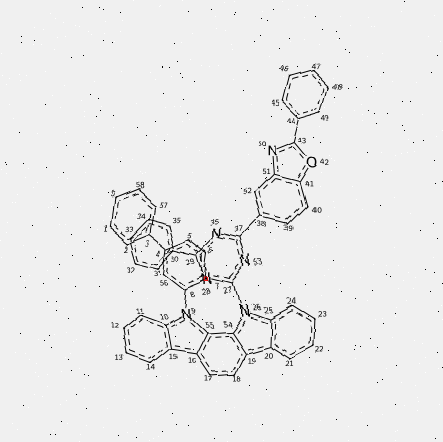 c1ccc(-c2cccc(-n3c4ccccc4c4ccc5c6ccccc6n(-c6nc(-c7ccccc7)nc(-c7ccc8oc(-c9ccccc9)nc8c7)n6)c5c43)c2)cc1